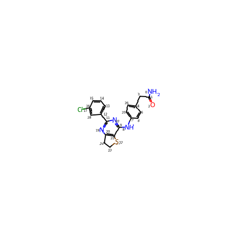 NC(=O)Cc1ccc(Nc2nc(-c3cccc(Cl)c3)nc3c2SCC3)cc1